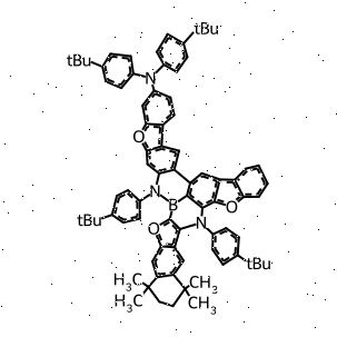 CC(C)(C)c1ccc(N2B3c4oc5cc6c(cc5c4N(c4ccc(C(C)(C)C)cc4)c4c3c(cc3c4oc4ccccc43)-c3cc4c(cc32)oc2cc(N(c3ccc(C(C)(C)C)cc3)c3ccc(C(C)(C)C)cc3)ccc24)C(C)(C)CCC6(C)C)cc1